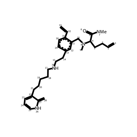 C=CCCC(C(=O)NC)N(C)Cc1cc(CCNCCCCCC2=CC=CNC2=C)ccc1C=C